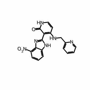 O=c1[nH]ccc(NCc2ccccn2)c1-c1nc2c([N+](=O)[O-])cccc2[nH]1